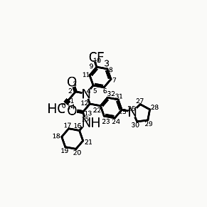 C#CC(=O)N(c1cccc(C(F)(F)F)c1)C(C(=O)NC1CCCCC1)c1ccc(N2CCCC2)cc1